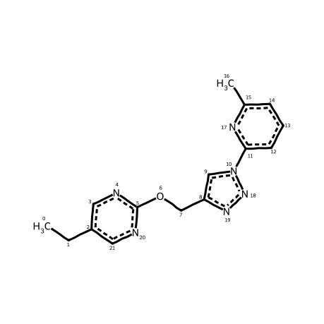 CCc1cnc(OCc2cn(-c3cccc(C)n3)nn2)nc1